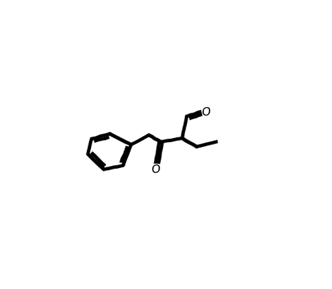 CCC(C=O)C(=O)Cc1ccccc1